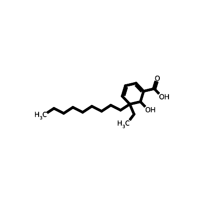 CCCCCCCCCC1(CC)C=CC=C(C(=O)O)C1O